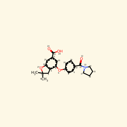 CC1(C)Cc2c(Oc3ccc(C(=O)N4CCCC4)cc3)cc(C(=O)O)cc2O1